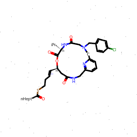 CCCCCCCC(=O)SCC/C=C/[C@@H]1CC(=O)NCc2cccc(n2)CN(Cc2ccc(Cl)cc2)CC(=O)N[C@@H](C(C)C)C(=O)O1